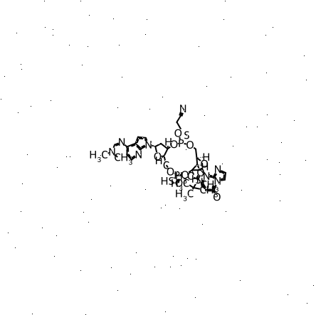 CN(C)/C=N\c1ccnc2c1ccn2[C@H]1C[C@@H]2OP(=S)(OCCC#N)OC[C@H]3O[C@@H](n4ccc(=O)n5ccnc45)[C@H](OP(=O)(S)OC[C@H]2O1)[C@@H]3O[Si](C)(C)C(C)(C)C